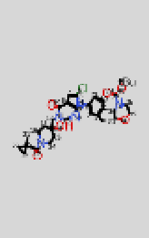 Cc1cc(-n2c(Cl)cc3c(=O)n(CC4(O)CCN(C(=O)C5(C)CC5)CC4)cnc32)ccc1[C@H]1COCCN1C(=O)OC(C)(C)C